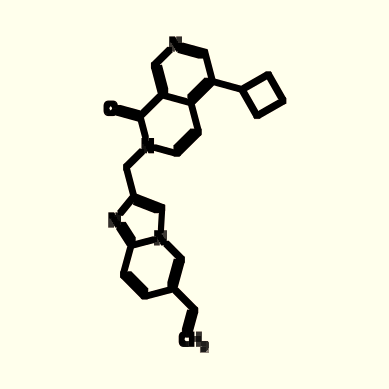 C=Cc1ccc2nc(Cn3ccc4c(C5CCC5)cncc4c3=O)cn2c1